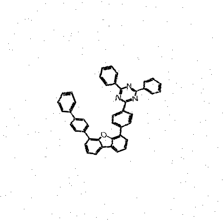 c1ccc(-c2ccc(-c3cccc4c3oc3c(-c5ccc(-c6nc(-c7ccccc7)nc(-c7ccccc7)n6)cc5)cccc34)cc2)cc1